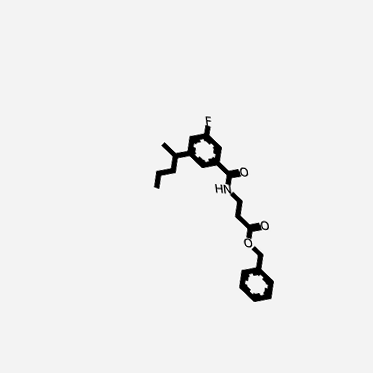 CCCC(C)c1cc(F)cc(C(=O)NCCC(=O)OCc2ccccc2)c1